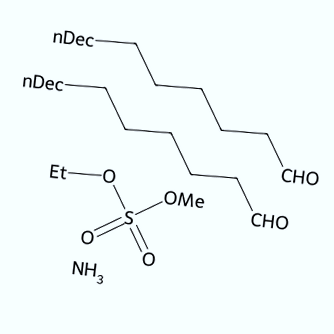 CCCCCCCCCCCCCCCC=O.CCCCCCCCCCCCCCCC=O.CCOS(=O)(=O)OC.N